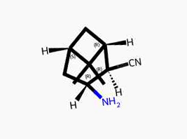 CC1(C)[C@@H]2C[C@@H](N)[C@H](C#N)[C@H]1C2